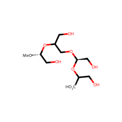 CO[C@@H](CO)OC(CO)CO[C@@H](CO)OC(CO)C(=O)O